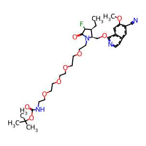 CC[C@@H]1[C@H](F)C(=O)N(CCOCCOCCOCCOCCNC(=O)OC(C)(C)C)[C@@H]1COc1nccc2cc(C#N)c(OC)cc12